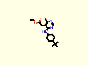 CCOC(=O)Cc1c(C)ncnc1NC1CCC(C(C)(C)C)CC1